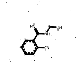 N#Cc1ccccc1C(=N)NCO